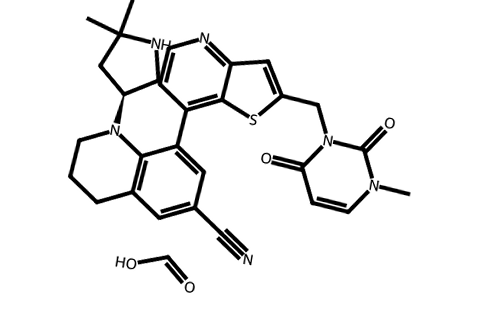 Cn1ccc(=O)n(Cc2cc3nccc(-c4cc(C#N)cc5c4N([C@@H]4CNC(C)(C)C4)CCC5)c3s2)c1=O.O=CO